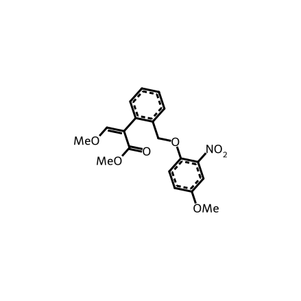 COC=C(C(=O)OC)c1ccccc1COc1ccc(OC)cc1[N+](=O)[O-]